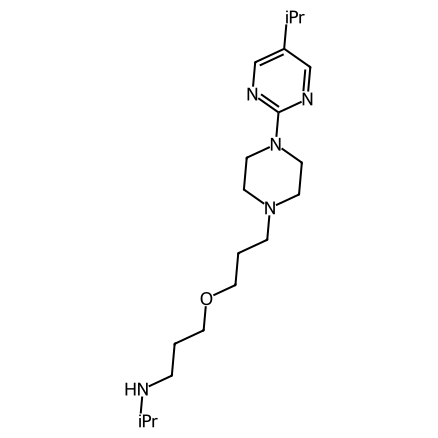 CC(C)NCCCOCCCN1CCN(c2ncc(C(C)C)cn2)CC1